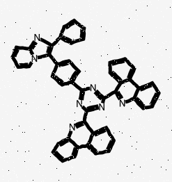 c1ccc(-c2nc3ccccn3c2-c2ccc(-c3nc(-c4nc5ccccc5c5ccccc45)nc(-c4nc5ccccc5c5ccccc45)n3)cc2)cc1